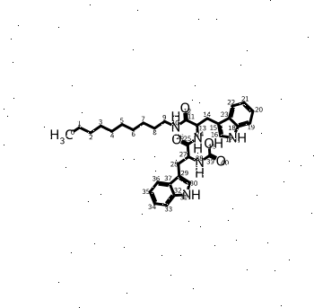 CCCCCCCCCCNC(=O)C(Cc1c[nH]c2ccccc12)NC(=O)C(Cc1c[nH]c2ccccc12)NC(=O)O